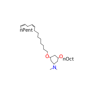 CCCCC/C=C\C/C=C\CCCCCCCCO[C@H]1C[C@@H](OCCCCCCCC)C[C@H](N(C)C)C1